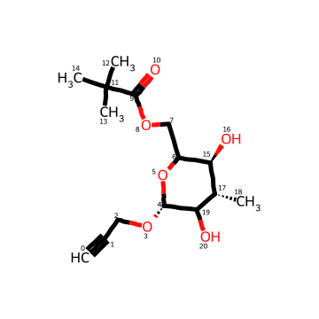 C#CCO[C@@H]1OC(COC(=O)C(C)(C)C)[C@@H](O)[C@H](C)C1O